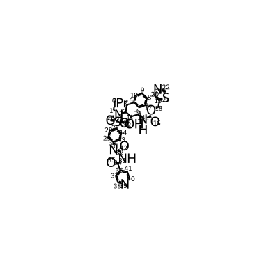 CC(C)CN(C(Cc1ccccc1)C(O)CNC(=O)OCc1cncs1)S(=O)(=O)c1ccc2nc(NC(=O)c3ccncc3)oc2c1